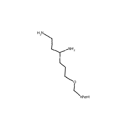 CCCCCCOCCCC(N)CCN